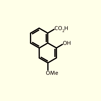 COc1cc(O)c2c(C(=O)O)cccc2c1